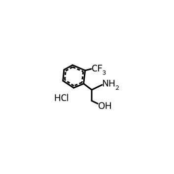 Cl.NC(CO)c1ccccc1C(F)(F)F